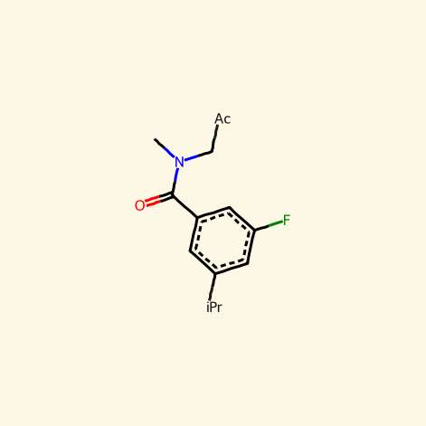 CC(=O)CN(C)C(=O)c1cc(F)cc(C(C)C)c1